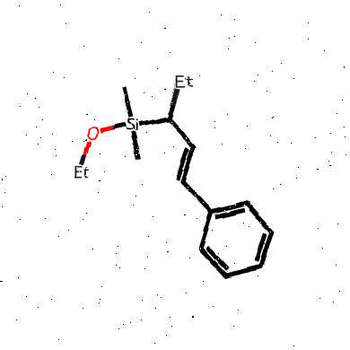 CCO[Si](C)(C)C(C=Cc1ccccc1)CC